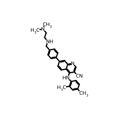 Cc1ccc(Nc2c(C#N)cnc3cc(-c4ccc(CNCCN(C)C)cc4)ccc23)c(C)c1